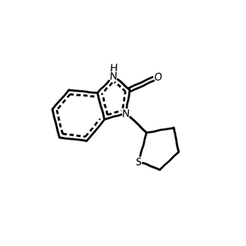 O=c1[nH]c2ccccc2n1C1CCCS1